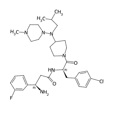 CC(C)CN(C1CCN(C(=O)[C@@H](Cc2ccc(Cl)cc2)NC(=O)C[C@@H](N)c2cccc(F)c2)CC1)N1CCN(C)CC1